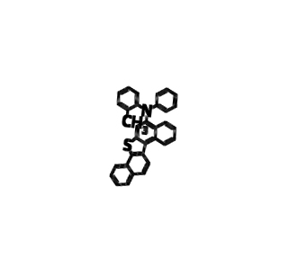 Cc1ccccc1N(c1ccccc1)c1cc2sc3c4ccccc4ccc3c2c2ccccc12